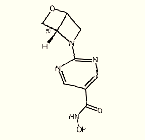 O=C(NO)c1cnc(N2CC3OC[C@H]32)nc1